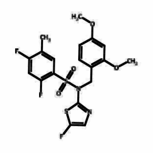 COc1ccc(CN(c2ncc(F)s2)S(=O)(=O)c2cc(C)c(F)cc2F)c(OC)c1